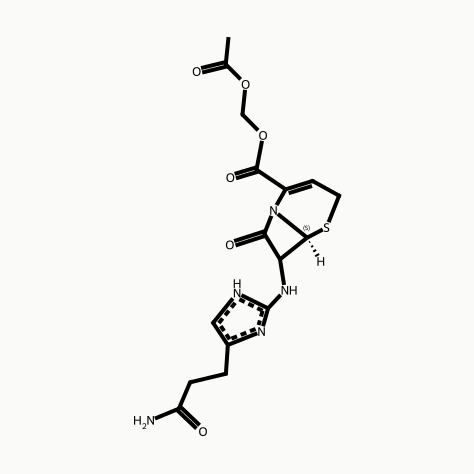 CC(=O)OCOC(=O)C1=CCS[C@H]2C(Nc3nc(CCC(N)=O)c[nH]3)C(=O)N12